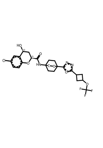 O=C(NC12CCC(c3nnc(C4CC(OC(F)(F)F)C4)o3)(CC1)OC2)[C@@H]1C[C@H](O)c2cc(Cl)ccc2O1